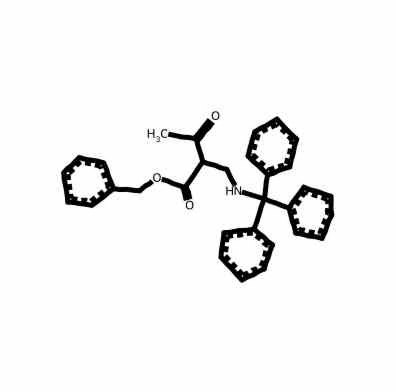 CC(=O)C(CNC(c1ccccc1)(c1ccccc1)c1ccccc1)C(=O)OCc1ccccc1